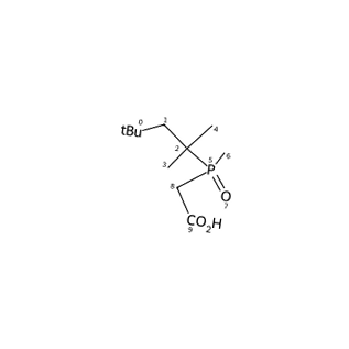 CC(C)(C)CC(C)(C)P(C)(=O)CC(=O)O